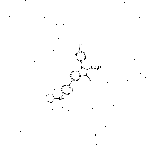 CC(C)c1ccc(N2c3ccc(-c4ccc(NC5CCCC5)cn4)cc3C(Cl)C2C(=O)O)cc1